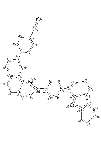 N#Cc1ccc(-c2ccc3ccc4ccc(-c5ccc(-c6cccc7c6oc6ccccc67)cc5)nc4c3n2)cc1